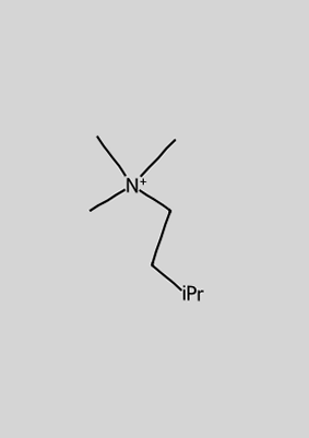 CC(C)CC[N+](C)(C)C